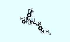 COc1ccc(C(=O)CCCCC(=O)N[C@H](CN2CCCC2)[C@H](O)c2ccc(C(F)(F)F)cc2)cc1